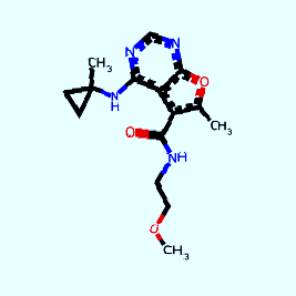 COCCNC(=O)c1c(C)oc2ncnc(NC3(C)CC3)c12